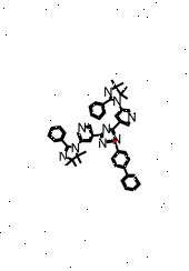 CC1(C)N=C(c2ccccc2)N(c2cncc(-c3nc(-c4ccc(-c5ccccc5)cc4)nc(-c4cncc(N5C(c6ccccc6)=NC(C)(C)C5(C)C)c4)n3)c2)C1(C)C